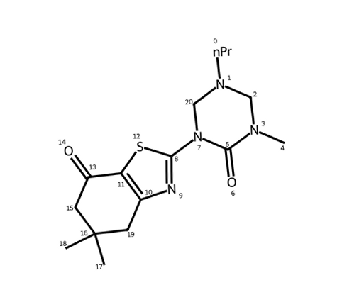 CCCN1CN(C)C(=O)N(c2nc3c(s2)C(=O)CC(C)(C)C3)C1